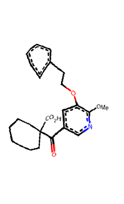 COc1ncc(C(=O)C2(C(=O)O)CCCCCC2)cc1OCCc1ccccc1